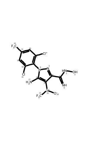 N=C(NO)c1nn(-c2c(Cl)cc(C(F)(F)F)cc2Cl)c(N)c1[S+]([O-])C(F)(F)F